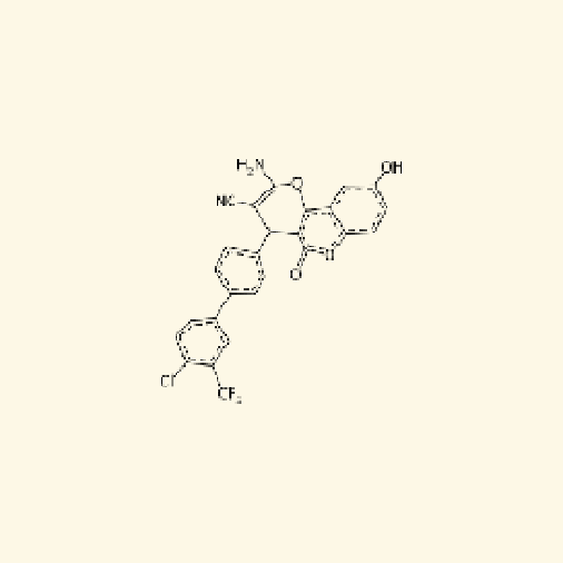 N#CC1=C(N)Oc2c(c(=O)oc3ccc(O)cc23)C1c1ccc(-c2ccc(Cl)c(C(F)(F)F)c2)cc1